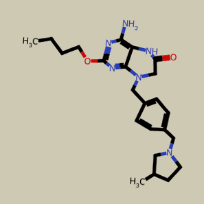 CCCCOc1nc(N)c2c(n1)N(Cc1ccc(CN3CCC(C)C3)cc1)CC(=O)N2